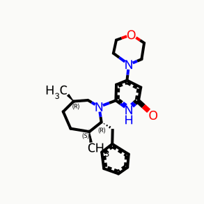 C[C@@H]1CC[C@H](C)[C@@H](Cc2ccccc2)N(c2cc(N3CCOCC3)cc(=O)[nH]2)C1